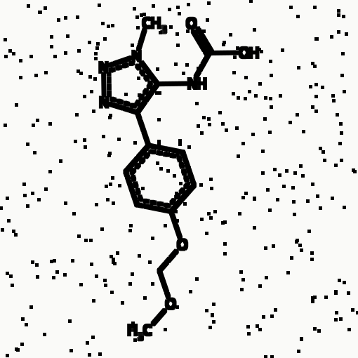 COCOc1ccc(-c2nnn(C)c2NC(=O)O)cc1